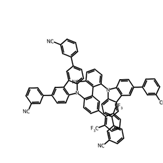 N#Cc1cccc(-c2ccc3c(c2)c2cc(-c4cccc(C#N)c4)ccc2n3-c2ccc(-c3c(C(F)(F)F)cccc3C(F)(F)F)cc2-c2c(C#N)cccc2-n2c3ccc(-c4cccc(C#N)c4)cc3c3cc(-c4cccc(C#N)c4)ccc32)c1